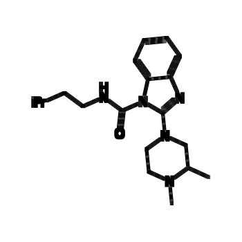 CC(C)CCNC(=O)n1c(N2CCN(C)C(C)C2)nc2ccccc21